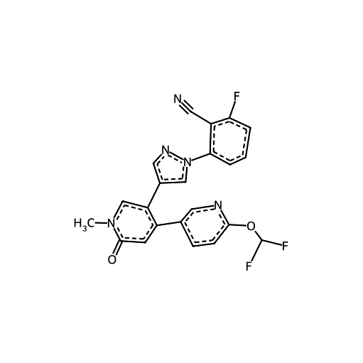 Cn1cc(-c2cnn(-c3cccc(F)c3C#N)c2)c(-c2ccc(OC(F)F)nc2)cc1=O